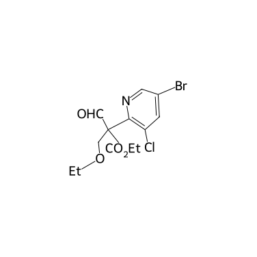 CCOCC(C=O)(C(=O)OCC)c1ncc(Br)cc1Cl